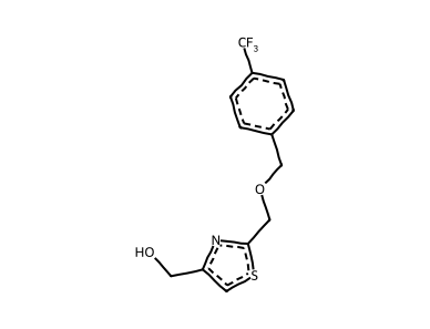 OCc1csc(COCc2ccc(C(F)(F)F)cc2)n1